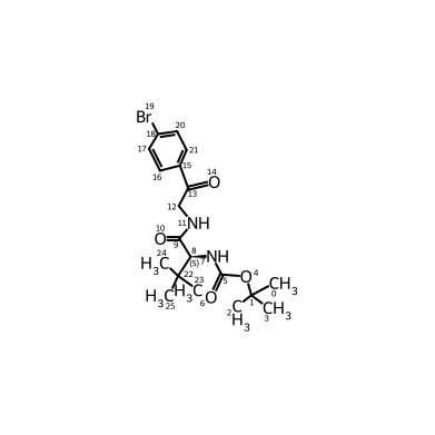 CC(C)(C)OC(=O)N[C@H](C(=O)NCC(=O)c1ccc(Br)cc1)C(C)(C)C